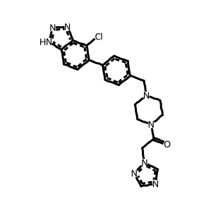 O=C(Cn1cncn1)N1CCN(Cc2ccc(-c3ccc4[nH]nnc4c3Cl)cc2)CC1